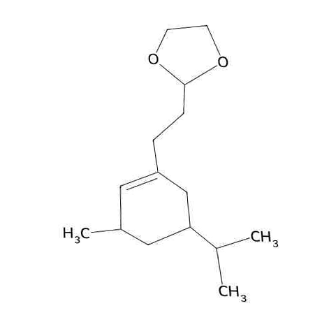 CC1C=C(CCC2OCCO2)CC(C(C)C)C1